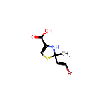 CC1(/C=C/Br)NC(C(=O)O)=CS1